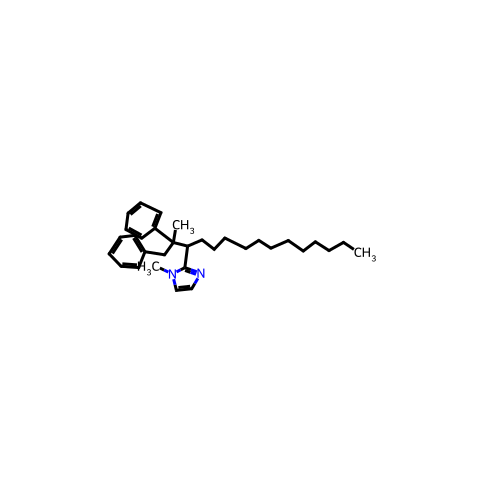 CCCCCCCCCCCCC(c1nccn1C)C(C)(Cc1ccccc1)c1ccccc1